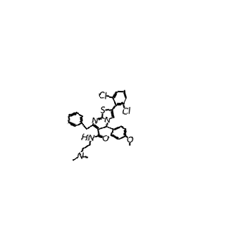 COc1ccc(C2C(C(=O)NCCN(C)C)=C(Cc3ccccc3)N=C3SC(c4c(Cl)cccc4Cl)=CN32)cc1